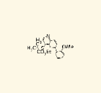 CCOC(=O)C(C)(C)Sc1ccnc2ccc(-c3ccccc3OC)cc12